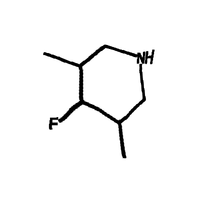 CC1CNCC(C)C1F